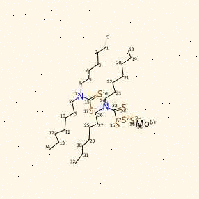 CCCCCCCN(CCCCCCC)C(=S)[S-].CCCCCCCN(CCCCCCC)C(=S)[S-].[Mo+6].[S-2].[S-2]